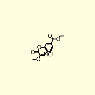 CCOC(=O)c1ccc2cc(OC)c(=O)oc2c1.Cl